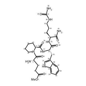 COC(=O)CC[C@H](N)C(=O)N1CCCC[C@H]1C(=O)N[C@@H](Cc1c[nH]c2ccccc12)C(=O)N[C@@H](CCCNC(N)=O)C(N)=O